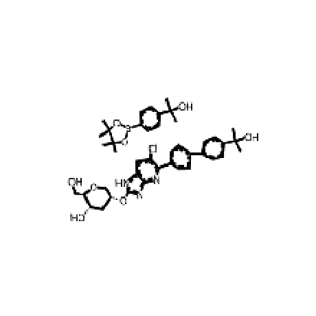 CC(C)(O)c1ccc(-c2ccc(-c3nc4nc(O[C@H]5CO[C@H](CO)[C@@H](O)C5)[nH]c4cc3Cl)cc2)cc1.CC(C)(O)c1ccc(B2OC(C)(C)C(C)(C)O2)cc1